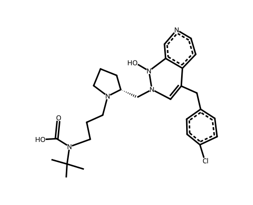 CC(C)(C)N(CCCN1CCC[C@@H]1CN1C=C(Cc2ccc(Cl)cc2)c2ccncc2N1O)C(=O)O